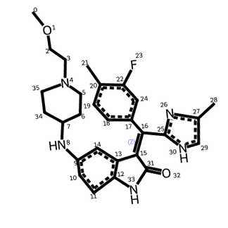 COCCN1CCC(Nc2ccc3c(c2)/C(=C(\c2ccc(C)c(F)c2)c2nc(C)c[nH]2)C(=O)N3)CC1